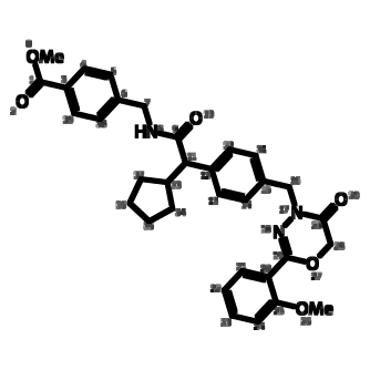 COC(=O)c1ccc(CNC(=O)C(c2ccc(CN3N=C(c4ccccc4OC)OCC3=O)cc2)C2CCCC2)cc1